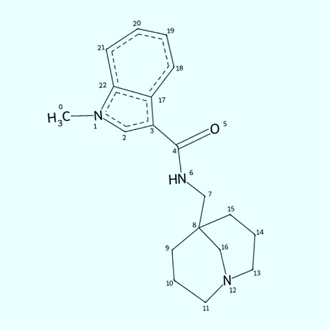 Cn1cc(C(=O)NCC23CCCN(CCC2)C3)c2ccccc21